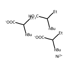 CCCCC(CC)C(=O)O.CCCCC(CC)C(=O)[O-].CCCCC(CC)C(=O)[O-].[Ni+2]